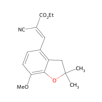 CCOC(=O)C(C#N)=Cc1ccc(OC)c2c1CC(C)(C)O2